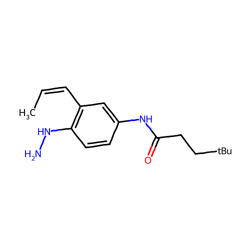 C/C=C\c1cc(NC(=O)CCC(C)(C)C)ccc1NN